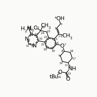 CC(=CCO)c1c(OC2CCC(NC(=O)OC(C)(C)C)CC2)ccc2c1CC(C)(C)c1c(N)ncnc1-2